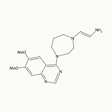 COc1cc2ncnc(N3CCCN(C=CN)CC3)c2cc1OC